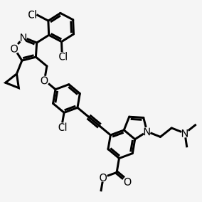 COC(=O)c1cc(C#Cc2ccc(OCc3c(-c4c(Cl)cccc4Cl)noc3C3CC3)cc2Cl)c2ccn(CCN(C)C)c2c1